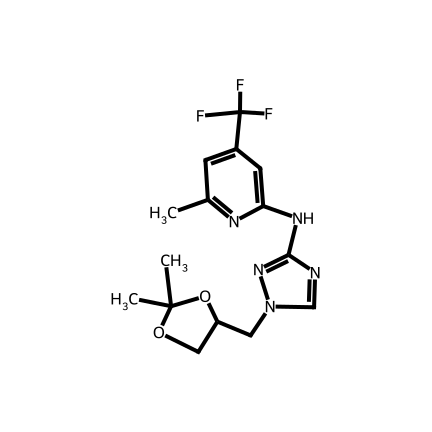 Cc1cc(C(F)(F)F)cc(Nc2ncn(CC3COC(C)(C)O3)n2)n1